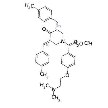 Cc1ccc(/C=C2/CN(C(=O)c3ccc(OCCN(C)C)cc3)C/C(=C\c3ccc(C)cc3)C2=O)cc1.Cl.O